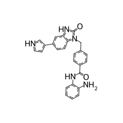 Nc1ccccc1NC(=O)c1ccc(Cn2c(=O)[nH]c3cc(-c4cc[nH]c4)ccc32)cc1